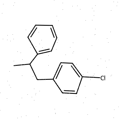 CC(Cc1ccc(Cl)cc1)c1ccccc1